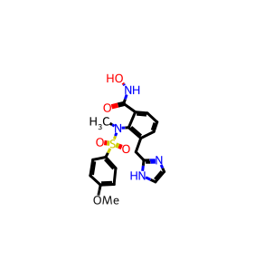 COc1ccc(S(=O)(=O)N(C)c2c(Cc3ncc[nH]3)cccc2C(=O)NO)cc1